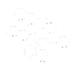 Bc1cc2ccccc2c2c1P(c1ccccc1)N(c1nc(-c3ccccc3)c3ccccc3n1)c1c-2c2ccccc2c2sc3ccccc3c12